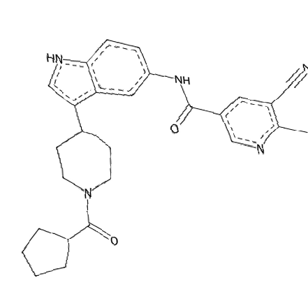 Cc1ncc(C(=O)Nc2ccc3[nH]cc(C4CCN(C(=O)C5CCCC5)CC4)c3c2)cc1C#N